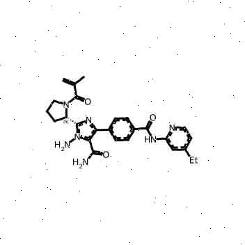 C=C(C)C(=O)N1CCC[C@H]1c1nc(-c2ccc(C(=O)Nc3cc(CC)ccn3)cc2)c(C(N)=O)n1N